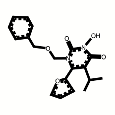 CC(C)c1c(-c2ccco2)n(COCc2ccccc2)c(=O)n(O)c1=O